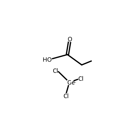 CCC(=O)O.[Cl][Ge]([Cl])[Cl]